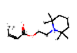 CC1(C)CCCC(C)(C)N1CCOC(=O)/C=C\C(=O)O